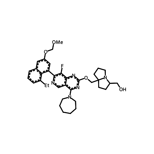 CCc1cccc2cc(OCOC)cc(-c3ncc4c(N5CCCCCC5)nc(OCC56CCCN5C(CO)CC6)nc4c3F)c12